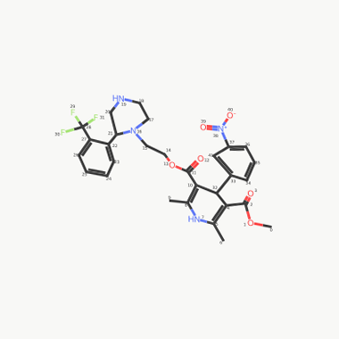 COC(=O)C1=C(C)NC(C)=C(C(=O)OCCN2CCNCC2c2ccccc2C(F)(F)F)C1c1cccc([N+](=O)[O-])c1